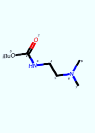 CC(C)COC(=O)NCCN(C)C